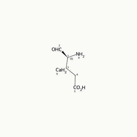 N[C@H](C=O)CCC(=O)O.[CaH2]